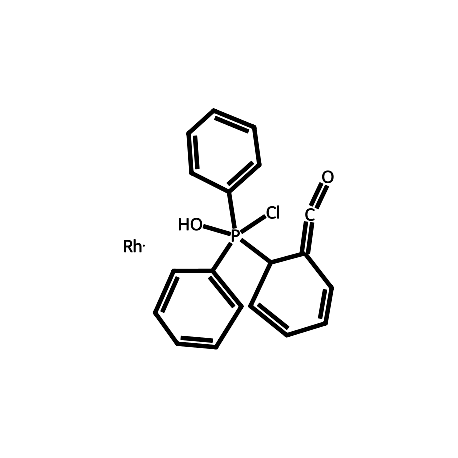 O=C=C1C=CC=CC1P(O)(Cl)(c1ccccc1)c1ccccc1.[Rh]